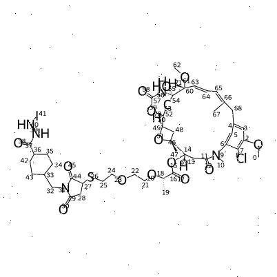 COc1cc2cc(c1Cl)N(C)C(=O)C[C@H](OC(=O)[C@H](C)OCCOCCSC1CC(=O)N(CC3CCC(C(=O)NNI)CC3)C1=O)[C@@]1(C)CC(C)(O1)[C@@H]1C[C@@](O)(NC(=O)O1)[C@H](OC)/C=C/C=C(\C)C2